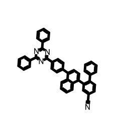 N#Cc1ccc(-c2ccccc2)c(-c2ccc(-c3ccc(-c4nc(-c5ccccc5)nc(-c5ccccc5)n4)cc3)c3ccccc23)c1